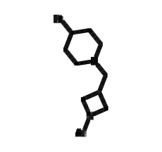 CCC1CCN(CC2CN(C(C)=O)C2)CC1